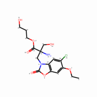 CCOc1cc2oc(=O)n(CC(N)(CO)C(=O)OCCCO)c2cc1Cl